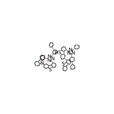 c1ccc(-c2ccc(-c3nc(-c4ccccc4)nc(-c4cccc5c4-c4cc(-c6cccc7c6sc6ccccc67)ccc4[SH]5c4cc(-c5ccccc5)cc(-c5nc(-c6ccccc6)nc(-c6cccc7sc8ccc(-n9c%10ccccc%10c%10ccccc%109)cc8c67)n5)c4)n3)cc2)cc1